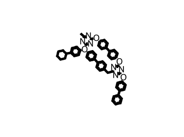 Cc1nc(Oc2ccc(-c3ccc(Oc4nc(Cc5ccc(-c6ccccc6)cc5)nc(Oc5ccc(-c6ccccc6)cc5)n4)cc3)cc2)nc(Oc2ccc(C3CCCCC3)cc2)n1